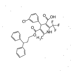 CC1=C(C(=O)OCCC(c2ccccc2)c2ccccc2)C(c2cccc(Cl)c2)C(C(=O)O)=C(C(F)(F)F)N1